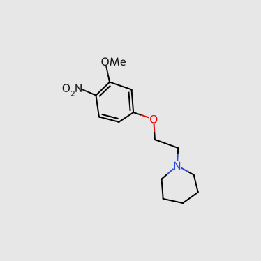 COc1cc(OCCN2CCCCC2)ccc1[N+](=O)[O-]